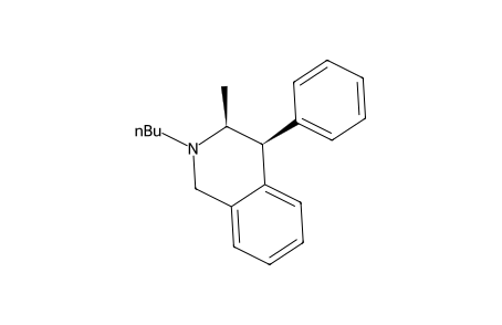 CCCCN1Cc2ccccc2[C@H](c2ccccc2)[C@@H]1C